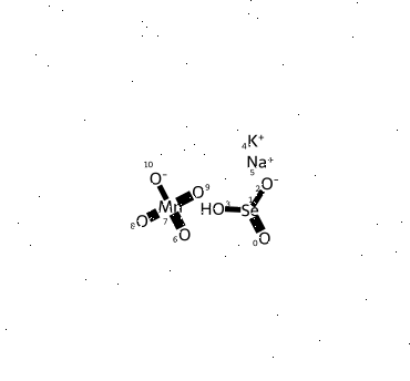 O=[Se]([O-])O.[K+].[Na+].[O]=[Mn](=[O])(=[O])[O-]